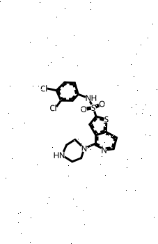 O=S(=O)(Nc1ccc(Cl)c(Cl)c1)c1cc2c(N3CCNCC3)nccc2s1